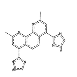 Cc1cc(-c2nc[nH]n2)c2ccc3c(-c4nc[nH]n4)cc(C)nc3c2n1